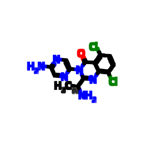 C[C@H](N)c1nc2c(Cl)ccc(Cl)c2c(=O)n1-c1cnc(N)cn1